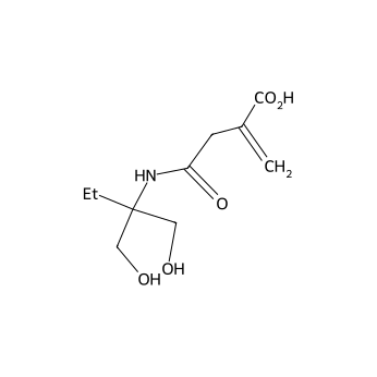 C=C(CC(=O)NC(CC)(CO)CO)C(=O)O